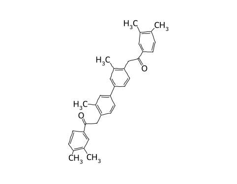 Cc1ccc(C(=O)Cc2ccc(-c3ccc(CC(=O)c4ccc(C)c(C)c4)c(C)c3)cc2C)cc1C